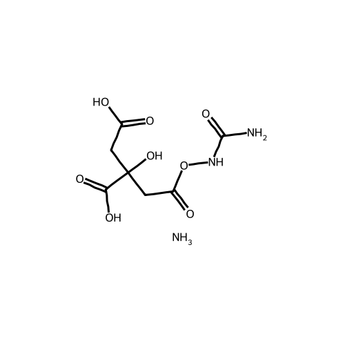 N.NC(=O)NOC(=O)CC(O)(CC(=O)O)C(=O)O